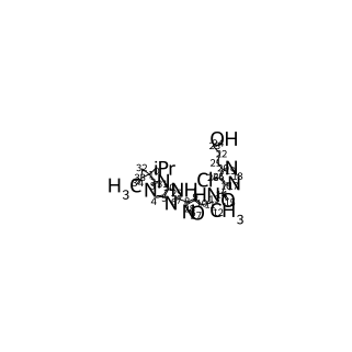 CC(C)C1(c2ncc3nc(-c4cc([C@@H](C)NC(=O)c5ncnc(CCCO)c5Cl)on4)[nH]c3n2)CC1C